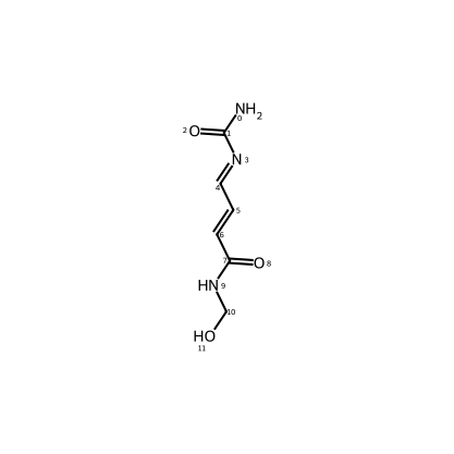 NC(=O)N=CC=CC(=O)NCO